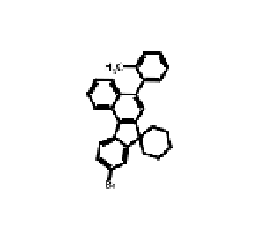 Cc1ccccc1-c1cc2c(c3ccccc13)-c1ccc(Br)cc1C21CCCCC1